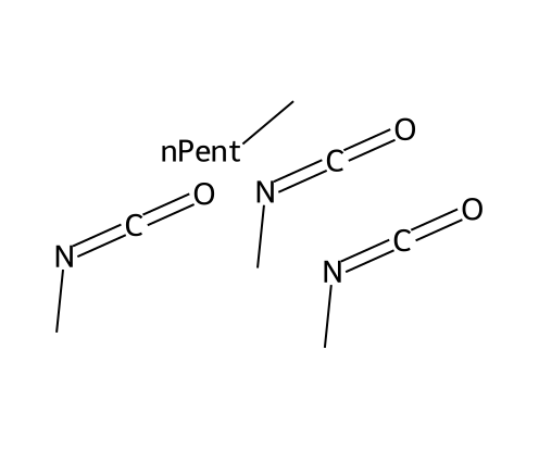 CCCCCC.CN=C=O.CN=C=O.CN=C=O